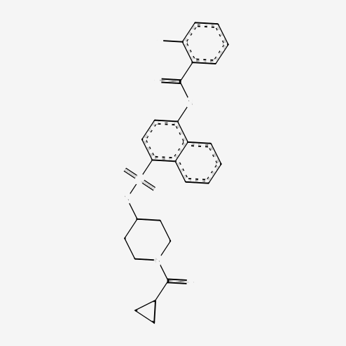 Cc1ccccc1C(=O)Nc1ccc(S(=O)(=O)NC2CCN(C(=O)C3CC3)CC2)c2ccccc12